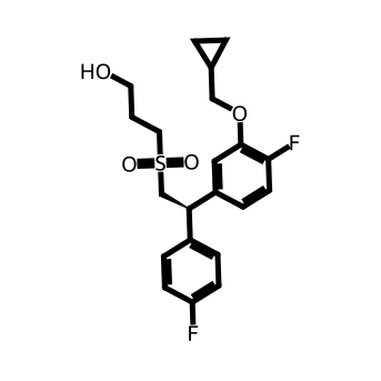 O=S(=O)(CCCO)C[C@H](c1ccc(F)cc1)c1ccc(F)c(OCC2CC2)c1